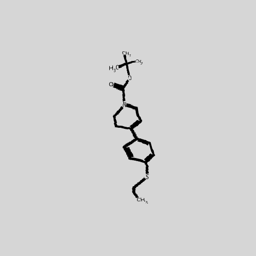 CCSc1ccc(C2=CCN(C(=O)OC(C)(C)C)CC2)cc1